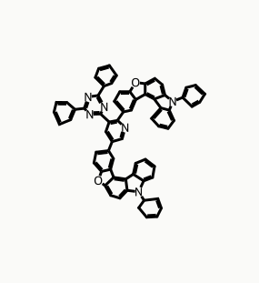 C1=CCC(n2c3ccccc3c3c4c(ccc32)oc2ccc(-c3cnc(-c5ccc6oc7ccc8c(c9ccccc9n8-c8ccccc8)c7c6c5)c(-c5nc(-c6ccccc6)nc(-c6ccccc6)n5)c3)cc24)C=C1